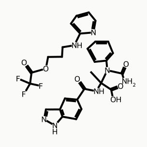 CC(NC(=O)c1ccc2[nH]ncc2c1)(C(=O)O)N(C(N)=O)c1ccccc1.O=C(OCCCNc1ccccn1)C(F)(F)F